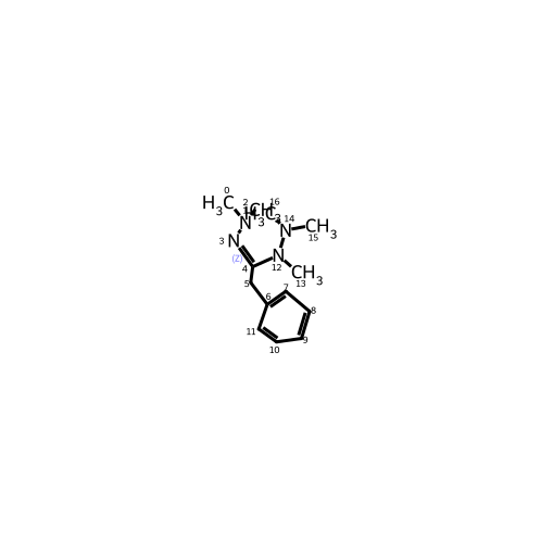 CN(C)/N=C(/Cc1ccccc1)N(C)N(C)C